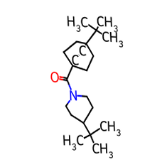 CC(C)(C)C1CCN(C(=O)C23CCC(C(C)(C)C)(CC2)CC3)CC1